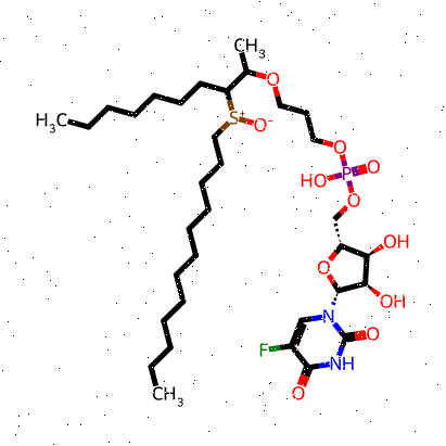 CCCCCCCCCCCC[S+]([O-])C(CCCCCCC)C(C)OCCCOP(=O)(O)OC[C@H]1O[C@@H](n2cc(F)c(=O)[nH]c2=O)[C@H](O)[C@@H]1O